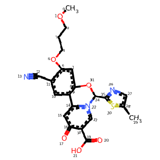 COCCCOc1cc2c(cc1C#N)-c1cc(=O)c(C(=O)O)cn1C(c1ncc(C)s1)O2